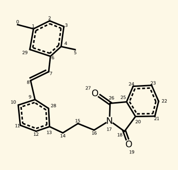 Cc1ccc(C)c(C=Cc2cccc(CCCN3C(=O)c4ccccc4C3=O)c2)c1